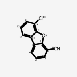 N#Cc1cccc2c1oc1c(Cl)cccc12